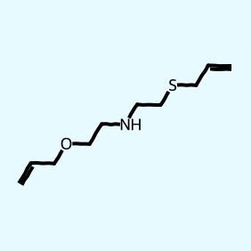 C=CCOCCNCCSCC=C